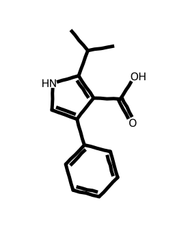 CC(C)c1[nH]cc(-c2ccccc2)c1C(=O)O